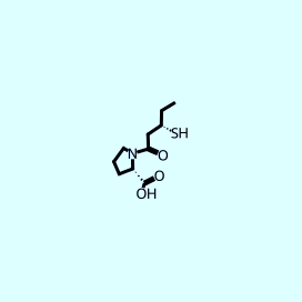 CC[C@H](S)CC(=O)N1CCC[C@H]1C(=O)O